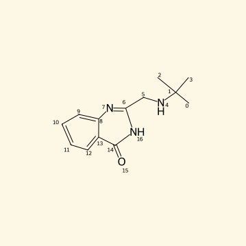 CC(C)(C)NCc1nc2ccccc2c(=O)[nH]1